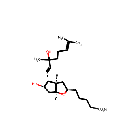 CC(C)=CCCC(C)(O)C=C[C@@H]1[C@H]2C[C@@H](CCCCC(=O)O)O[C@H]2C[C@H]1O